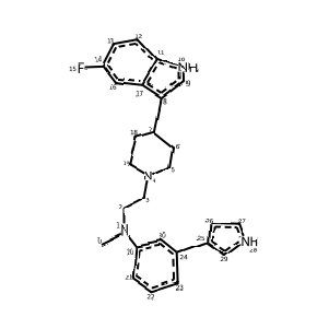 CN(CCN1CCC(c2c[nH]c3ccc(F)cc23)CC1)c1cccc(-c2cc[nH]c2)c1